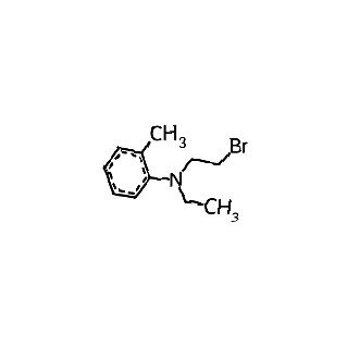 CCN(CCBr)c1ccccc1C